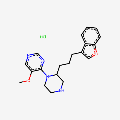 COc1cncnc1N1CCNCC1CCCc1coc2ccccc12.Cl